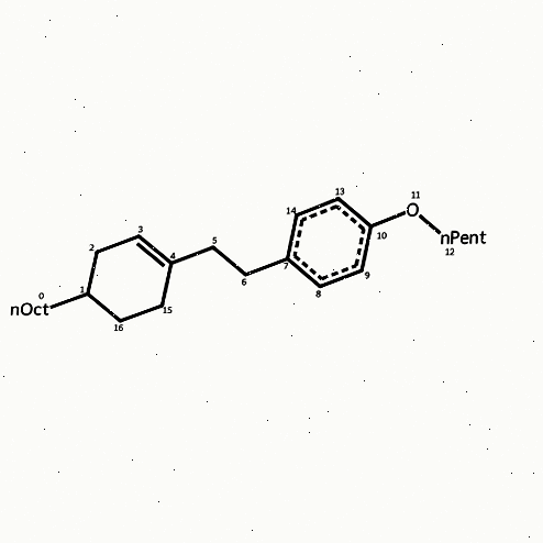 CCCCCCCCC1CC=C(CCc2ccc(OCCCCC)cc2)CC1